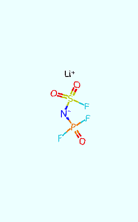 O=P(F)(F)[N-]S(=O)(=O)F.[Li+]